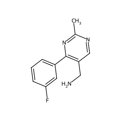 Cc1ncc(CN)c(-c2cccc(F)c2)n1